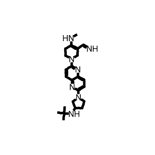 CNC1=C(C=N)CN(c2ccc3nc(N4CCC(NC(C)(C)C)C4)ccc3n2)CC1